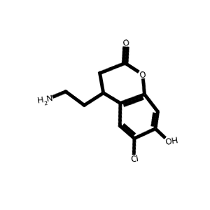 NCCC1CC(=O)Oc2cc(O)c(Cl)cc21